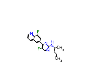 CCCC(C)Nc1ncc(F)c(-c2cc(F)c3ncccc3c2)n1